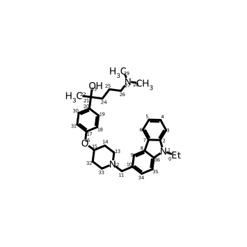 CCn1c2ccccc2c2cc(CN3CCC(Oc4ccc(C(C)(O)CCCN(C)C)cc4)CC3)ccc21